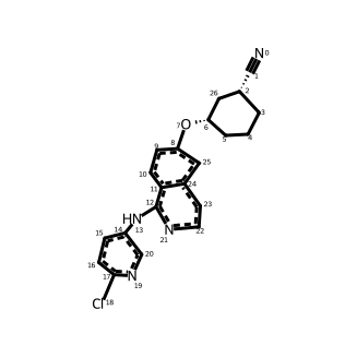 N#C[C@@H]1CCC[C@H](Oc2ccc3c(Nc4ccc(Cl)nc4)nccc3c2)C1